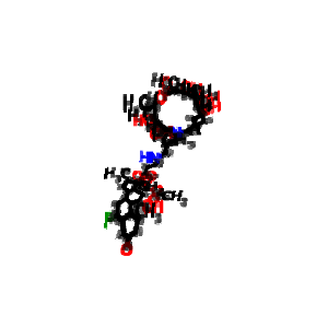 CC[C@H]1OC(=O)[C@H](C)[C@@H](O)[C@H](C)[C@@H](O)[C@]2(O)C[C@H](CN(CCCNCCC(=O)O[C@]3(C(=O)COC(C)=O)[C@H](C)CC4C5C[C@H](F)C6=CC(=O)C=C[C@]6(C)C5[C@@H](O)C[C@@]43C)[C@H](C)[C@@H](O)[C@]1(C)O)C2